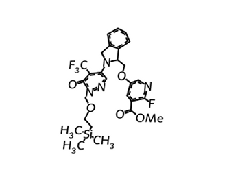 COC(=O)c1cc(OCC2c3ccccc3CN2c2cnn(COCC[Si](C)(C)C)c(=O)c2C(F)(F)F)cnc1F